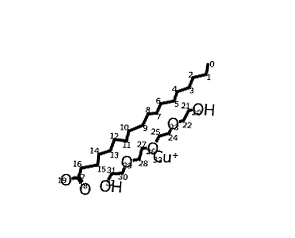 CCCCCCCCCCCCCCCCCC(=O)[O-].OCCOCCOCCOCCO.[Cu+]